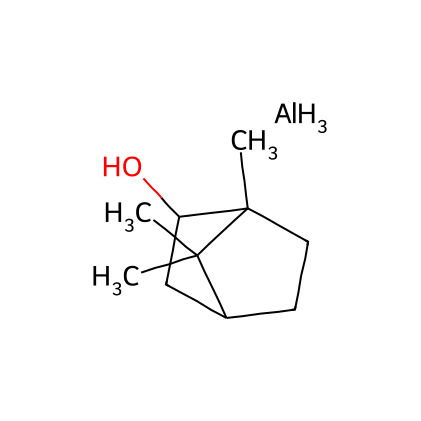 CC1(C)C2CCC1(C)C(O)C2.[AlH3]